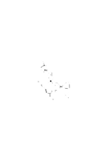 Cc1cnc(NCC(C)(C)NCC(=O)N2CCC[C@H]2C#N)s1.O=C(O)/C=C/C(=O)O